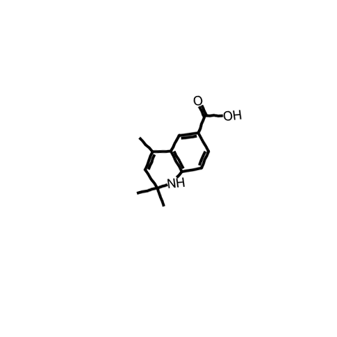 CC1=CC(C)(C)Nc2ccc(C(=O)O)cc21